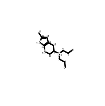 CCCN(CCC)C1CSc2sc(C)cc2C1